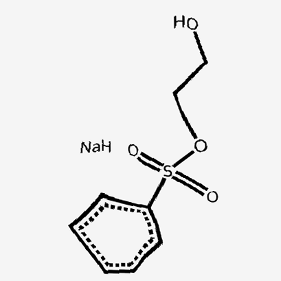 O=S(=O)(OCCO)c1ccccc1.[NaH]